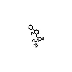 O=C([C@H]1CCO1)N1CC2(CC2)C[C@@H]1Cc1cccc(-c2ccccc2)c1F